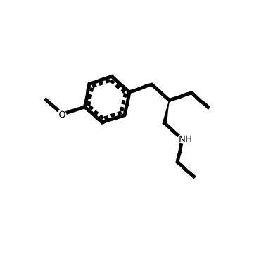 CCNC[C@H](CC)Cc1ccc(OC)cc1